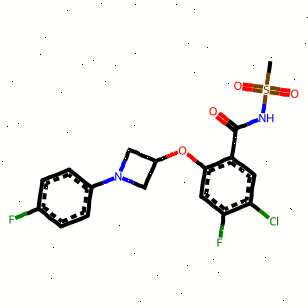 CS(=O)(=O)NC(=O)c1cc(Cl)c(F)cc1OC1CN(c2ccc(F)cc2)C1